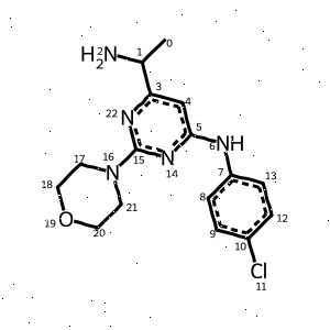 CC(N)c1cc(Nc2ccc(Cl)cc2)nc(N2CCOCC2)n1